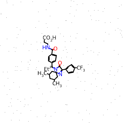 CC[C@H](c1ccc(C(=O)NCCC(=O)O)cc1)N1C(=O)C(c2ccc(C(F)(F)F)cc2)=NC12CC(C)CC(C)C2